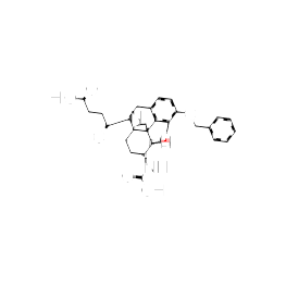 CC(=O)N[C@H]1CCC2C3Cc4ccc(OCc5ccccc5)c5c4C2(CCN3C(=O)CCC(=O)O)[C@H]1O5